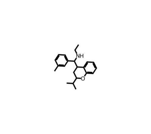 CCNC(c1cccc(C)c1)C1CC(C(C)C)Oc2ccccc21